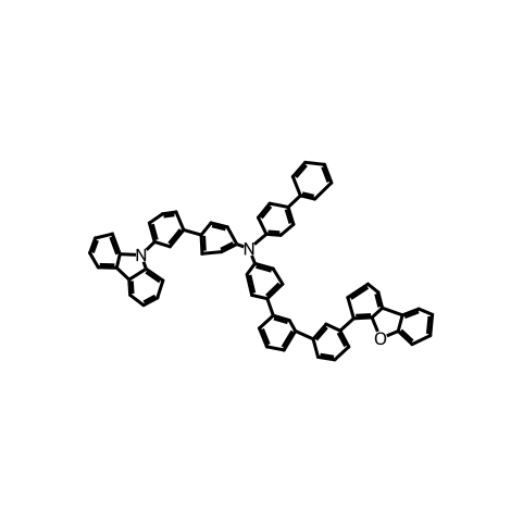 c1ccc(-c2ccc(N(c3ccc(-c4cccc(-c5cccc(-c6cccc7c6oc6ccccc67)c5)c4)cc3)c3ccc(-c4cccc(-n5c6ccccc6c6ccccc65)c4)cc3)cc2)cc1